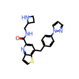 O=C(NCC1CCN1)c1cc(Cc2ccc(-n3cccn3)cc2)c2sccc2n1